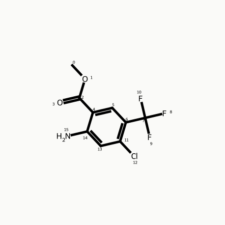 COC(=O)c1cc(C(F)(F)F)c(Cl)cc1N